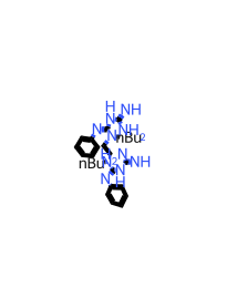 CCCCN(CCN(CCCC)C(=Nc1ccccc1)NC(=N)N)C(=Nc1ccccc1)NC(=N)N